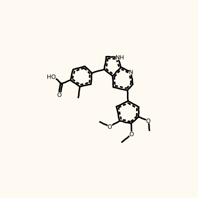 COc1cc(-c2cnc3[nH]cc(-c4ccc(C(=O)O)c(C)c4)c3c2)cc(OC)c1OC